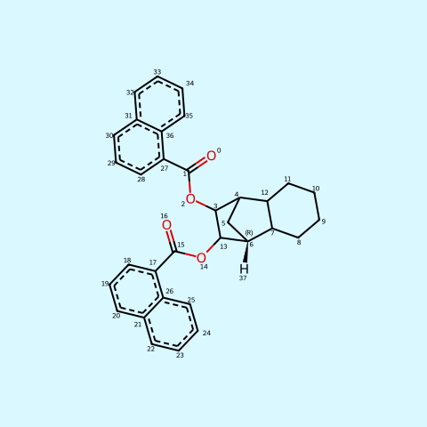 O=C(OC1C2C[C@H](C3CCCCC23)C1OC(=O)c1cccc2ccccc12)c1cccc2ccccc12